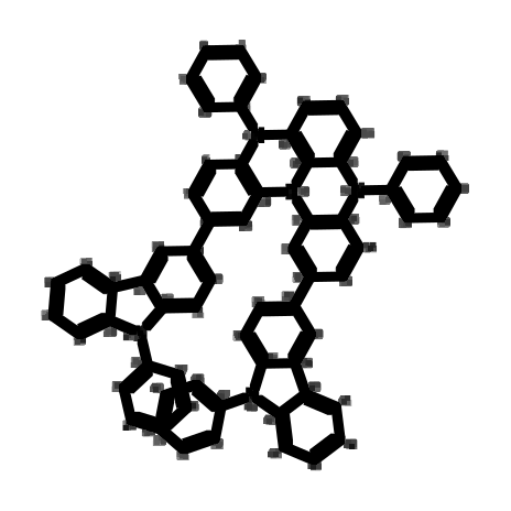 c1ccc(N2c3ccc(-c4ccc5c(c4)c4ccccc4n5-c4ccccc4)cc3B3c4cc(-c5ccc6c(c5)c5ccccc5n6-c5ccccc5)ccc4N(c4ccccc4)c4cccc2c43)cc1